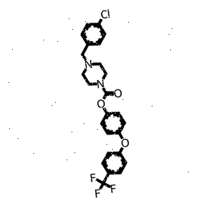 O=C(Oc1ccc(Oc2ccc(C(F)(F)F)cc2)cc1)N1CCN(Cc2ccc(Cl)cc2)CC1